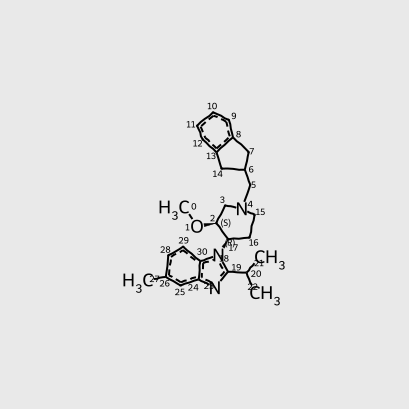 CO[C@H]1CN(CC2Cc3ccccc3C2)CC[C@H]1n1c(C(C)C)nc2cc(C)ccc21